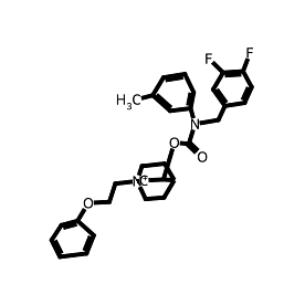 Cc1cccc(N(Cc2ccc(F)c(F)c2)C(=O)OC2C[N+]3(CCOc4ccccc4)CCC2CC3)c1